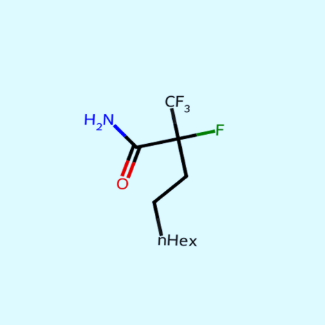 CCCCCCCCC(F)(C(N)=O)C(F)(F)F